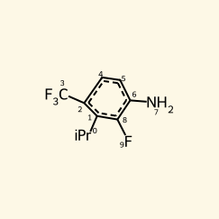 CC(C)c1c(C(F)(F)F)ccc(N)c1F